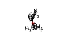 CC=Cc1c(NCc2ccc(C#N)cc2)ccc2c(CCC3CCN(C(=O)OC(C)(C)C)CC3)noc12